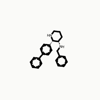 c1ccc(CN[C@H]2CCCN[C@H]2c2ccc(-c3ccccc3)cc2)cc1